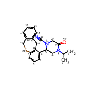 CC(C)N1CC(c2cccc3c2Cc2ccccc2CS3)N(C#N)CC1=O